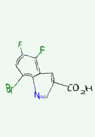 O=C(O)c1cnc2c(Br)cc(F)c(F)c2c1